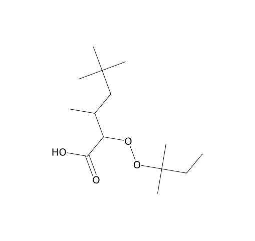 CCC(C)(C)OOC(C(=O)O)C(C)CC(C)(C)C